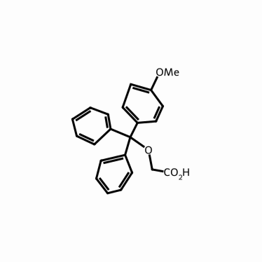 COc1ccc(C(OCC(=O)O)(c2ccccc2)c2ccccc2)cc1